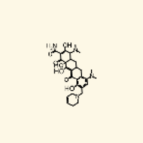 CN(C)c1cc(CN2CC=CCC2)c(O)c2c1CC1CC3C(N(C)C)C(O)=C(C(N)=O)C(=O)C3(O)C(O)=C1C2=O